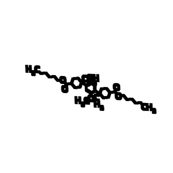 CCCCCCOC(=O)C1CCC(C)(c2cc(OC)c(C3(C)CCC(C(=O)OCCCCCC)CC3)cc2O)CC1